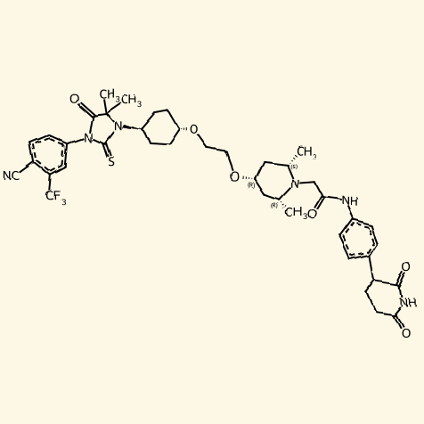 C[C@@H]1C[C@H](OCCO[C@H]2CC[C@H](N3C(=S)N(c4ccc(C#N)c(C(F)(F)F)c4)C(=O)C3(C)C)CC2)C[C@H](C)N1CC(=O)Nc1ccc(C2CCC(=O)NC2=O)cc1